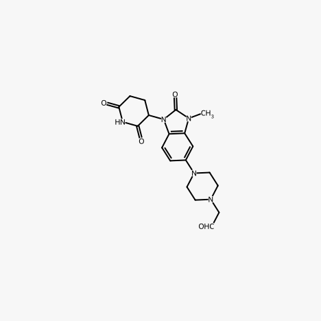 Cn1c(=O)n(C2CCC(=O)NC2=O)c2ccc(N3CCN(CC=O)CC3)cc21